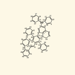 C1=Cc2c3c(cc4c2c2ccccc2n4-c2ccccc2)-c2c(c(-c4ccccc4)c4cc5c6c(cccc6c4c2-c2ccccc2)-c2ccccc2-5)C3C1